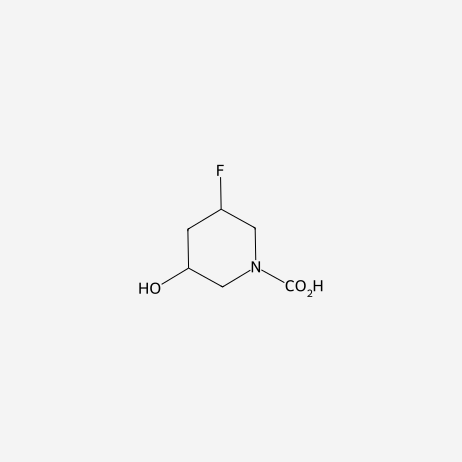 O=C(O)N1CC(O)CC(F)C1